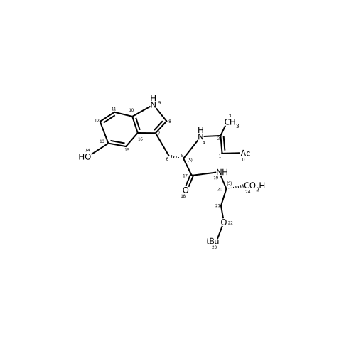 CC(=O)C=C(C)N[C@@H](Cc1c[nH]c2ccc(O)cc12)C(=O)N[C@@H](COC(C)(C)C)C(=O)O